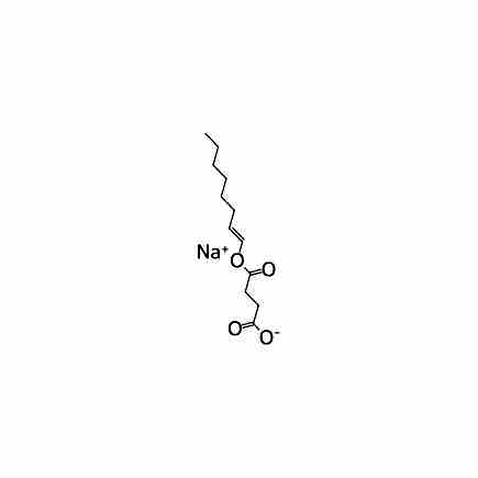 CCCCCCC=COC(=O)CCC(=O)[O-].[Na+]